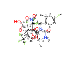 Cc1cc(F)ccc1[C@H]1C[C@@]([N+](=O)[O-])(C(C)(C(=O)O)C(C)C(=O)O)CCN1C(=O)N(C)[C@H](C)c1cc(C(F)(F)F)cc(C(F)(F)F)c1